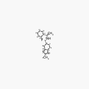 Cc1nc2ccc(CN[C@H](C)c3ccccc3F)cc2s1